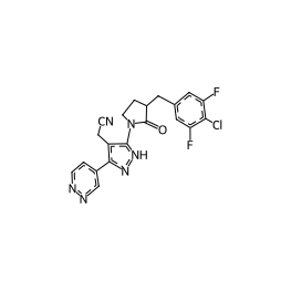 N#CCc1c(-c2ccnnc2)n[nH]c1N1CCC(Cc2cc(F)c(Cl)c(F)c2)C1=O